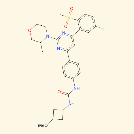 COC1CC(NC(=O)Nc2ccc(-c3cc(-c4cc(F)ccc4S(C)(=O)=O)nc(N4CCOCC4C)n3)cc2)C1